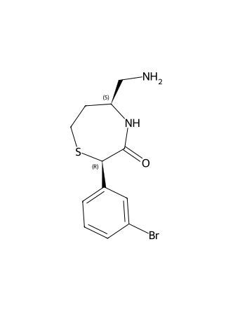 NC[C@@H]1CCS[C@H](c2cccc(Br)c2)C(=O)N1